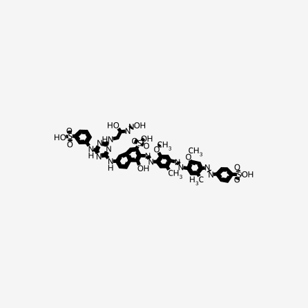 COc1cc(N=Nc2ccc(S(=O)(=O)O)cc2)c(C)cc1N=Nc1cc(OC)c(N=Nc2c(S(=O)(=O)O)cc3cc(Nc4nc(NCC(O)N=NO)nc(Nc5cccc(S(=O)(=O)O)c5)n4)ccc3c2O)cc1C